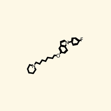 Fc1ccc(-n2ccc3cc(OCCCCCCCN4CCCCC4)ccc32)cc1